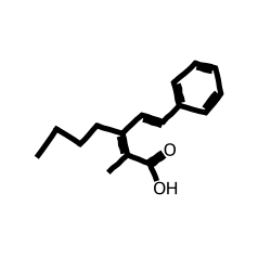 CCCCC(C=Cc1ccccc1)=C(C)C(=O)O